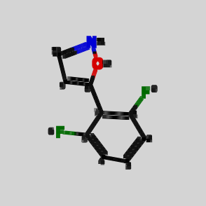 Fc1cccc(F)c1-c1c[c]no1